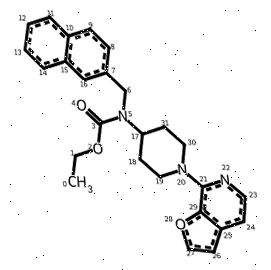 CCOC(=O)N(Cc1ccc2ccccc2c1)C1CCN(c2nccc3ccoc23)CC1